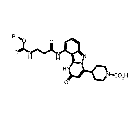 CC(C)(C)OC(=O)NCCC(=O)Nc1cccc2nn3c(C4CCN(C(=O)O)CC4)cc(=O)[nH]c3c12